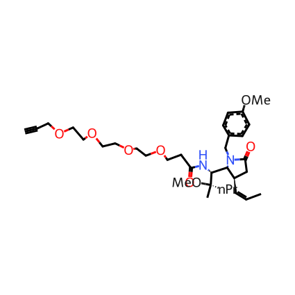 C#CCOCCOCCOCCOCCC(=O)N[C@H]([C@H]1[C@H](/C=C\C)CC(=O)N1Cc1ccc(OC)cc1)[C@](C)(CCC)OC